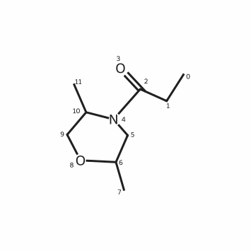 CCC(=O)N1CC(C)OCC1C